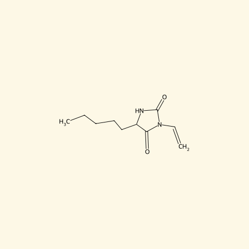 C=CN1C(=O)NC(CCCCC)C1=O